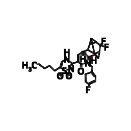 CCCCCC1=CNC(C2=C[C@@H]3C4C5C6C(C7C4C7C(F)(F)C56)[C@@H]3N(Cc3ccc(F)cc3)C2=O)=NS1(=O)=O